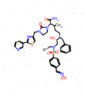 CC(C)CN(C[C@H](O)[C@@H](CCC(C)C(C(N)=O)N1CCN(Cc2csc(-c3cccnc3)n2)C1=O)Cc1ccccc1)S(=O)(=O)c1ccc(C=NO)cc1